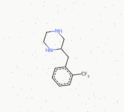 FC(F)(F)c1ccccc1CC1CNCCN1